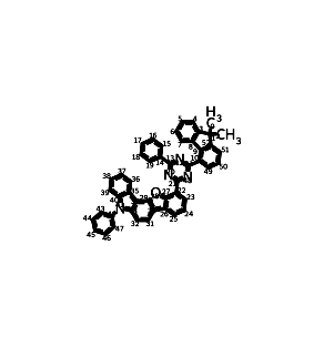 CC1(C)c2ccccc2-c2c(-c3nc(-c4ccccc4)nc(-c4cccc5c4oc4c5ccc5c4c4ccccc4n5-c4ccccc4)n3)cccc21